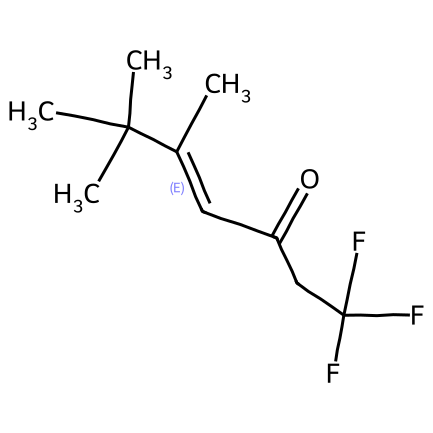 C/C(=C\C(=O)CC(F)(F)F)C(C)(C)C